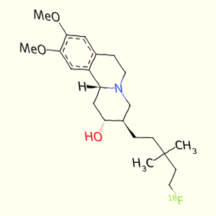 COc1cc2c(cc1OC)[C@H]1C[C@@H](O)[C@H](CCC(C)(C)CC[18F])CN1CC2